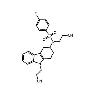 N#CCCN(C1CCc2c(c3ccccc3n2CCC#N)C1)S(=O)(=O)c1ccc(F)cc1